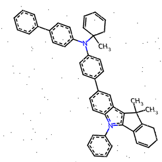 CC1(C)C2=C(C=CCC2)c2c1c1cc(-c3ccc(N(c4ccc(-c5ccccc5)cc4)C4(C)C=CC=CC4)cc3)ccc1n2-c1ccccc1